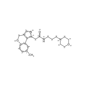 Cc1ccc2c(c1)-c1c(cnn1CC(=O)NCCCN1CCOCC1)CO2